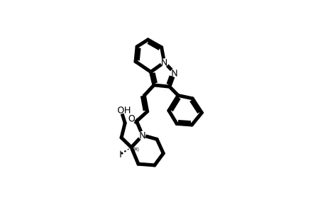 O=C(C=Cc1c(-c2ccccc2)nn2ccccc12)N1CCCC[C@@]1(I)CCO